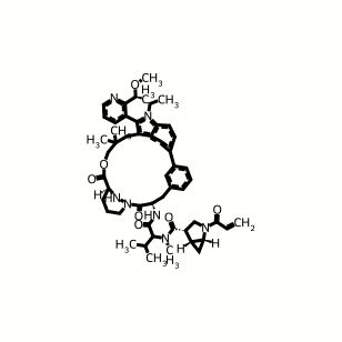 C=CC(=O)N1C[C@@H](C(=O)N(C)C(C(=O)N[C@H]2Cc3cccc(c3)-c3ccc4c(c3)c(c(-c3cccnc3[C@H](C)OC)n4CC)CC(C)(C)COC(=O)[C@@H]3CCCN(N3)C2=O)C(C)C)[C@H]2C[C@H]21